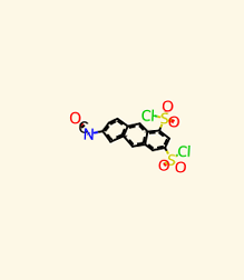 O=C=Nc1ccc2cc3c(S(=O)(=O)Cl)cc(S(=O)(=O)Cl)cc3cc2c1